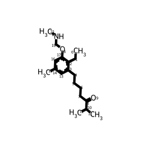 CCc1c(CCCCC(=O)C(C)C)cc(C)cc1OCNC